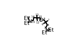 CCN(CC)CCC(C)(C)COCC(C)(C)CCN(CC)CC